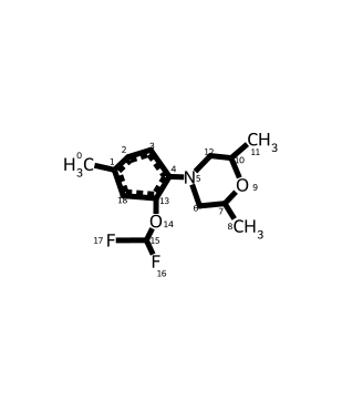 Cc1ccc(N2CC(C)OC(C)C2)c(OC(F)F)c1